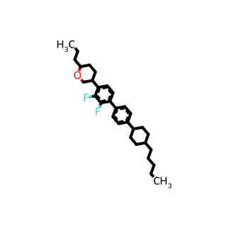 CCCCCC1CCC(c2ccc(-c3ccc(C4CCC(CCC)OC4)c(F)c3F)cc2)CC1